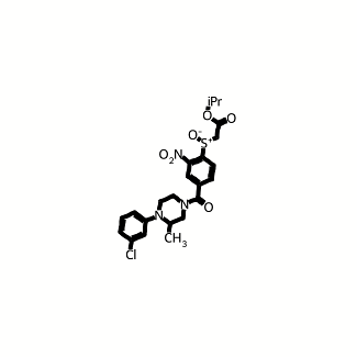 CC(C)OC(=O)C[S+]([O-])c1ccc(C(=O)N2CCN(c3cccc(Cl)c3)C(C)C2)cc1[N+](=O)[O-]